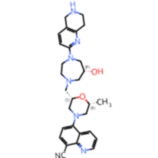 C[C@@H]1CN(c2ccc(C#N)c3ncccc23)C[C@H](CN2CCN(c3ccc4c(n3)CCNC4)C[C@H](O)C2)O1